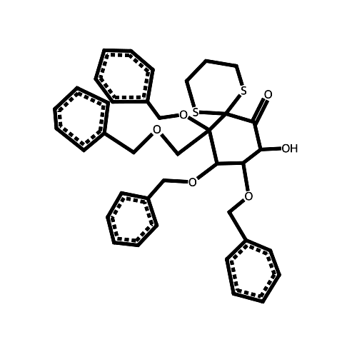 O=C1C(O)C(OCc2ccccc2)C(OCc2ccccc2)C(COCc2ccccc2)(OCc2ccccc2)C12SCCCS2